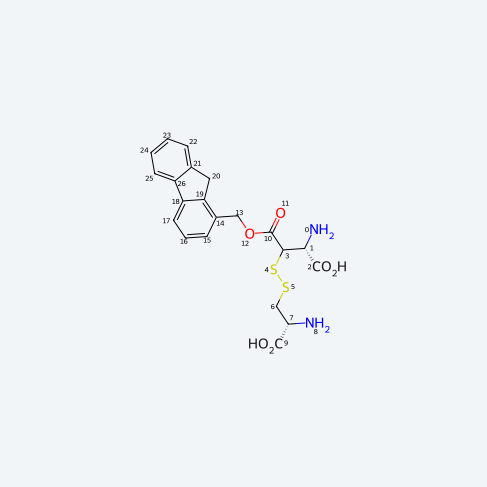 N[C@H](C(=O)O)C(SSC[C@H](N)C(=O)O)C(=O)OCc1cccc2c1Cc1ccccc1-2